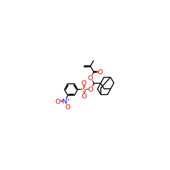 C=C(C)C(=O)OC(OS(=O)(=O)c1cccc([N+](=O)[O-])c1)C12CC3CC(CC(C3)C1)C2